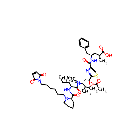 CC[C@H](C)[C@H](NC(=O)C1CCCCN1CCCCCCN1C(=O)C=CC1=O)C(=O)N(C)[C@H](C[C@@H](OC(C)=O)c1nc(C(=O)N[C@@H](Cc2ccccc2)C[C@H](C)C(=O)O)cs1)C(C)C